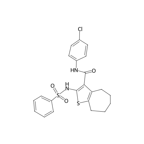 O=C(Nc1ccc(Cl)cc1)c1c(NS(=O)(=O)c2ccccc2)sc2c1CCCCC2